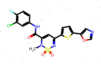 CN1C(C(=O)Nc2ccc(F)c(Cl)c2)=CC(c2ccc(-c3cnco3)s2)=NS1(=O)=O